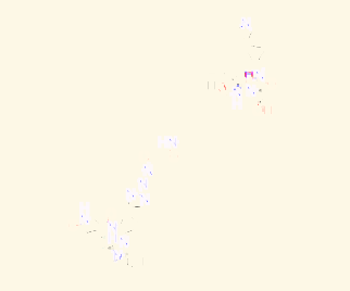 Cc1ncsc1-c1ccc(CNC(=O)[C@@H]2C[C@@H](O)CN2C(=O)[C@@H](NC(=O)CCCCCCCCCNC(=O)CCC(=O)N2CCN(c3ncc(-c4cc(NC(=O)c5c[nH]c(=O)cc5C(F)(F)F)c(N5C[C@@H](C)N(C)[C@@H](C)C5)cc4F)cn3)CC2)C(C)(C)C)cc1